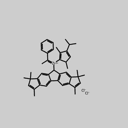 CC1=CC(C)(C)c2cc3c(cc21)-c1cc2c(cc1[CH]3/[Zr+2]([C]1=C(C)C(C(C)C)=CC1C)=[C](\C)c1ccccc1)C(C)(C)C=C2C.[Cl-].[Cl-]